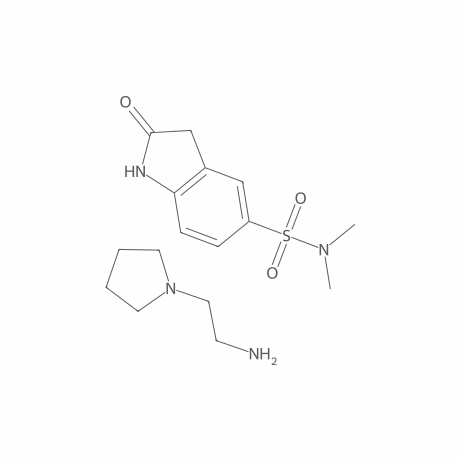 CN(C)S(=O)(=O)c1ccc2c(c1)CC(=O)N2.NCCN1CCCC1